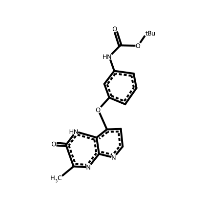 Cc1nc2nccc(Oc3cccc(NC(=O)OC(C)(C)C)c3)c2[nH]c1=O